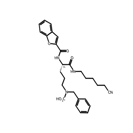 N#CCCCCCNC(=O)[C@H](CCCN(Cc1ccccc1)C(=O)O)NC(=O)c1cc2ccccc2o1